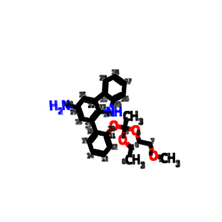 CCOC(C)(OCCOC)Oc1ccccc1-c1cc(N)cc2c1[nH]c1ccccc12